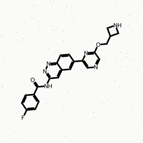 O=C(Nc1cc2cc(-c3cncc(OCC4CNC4)n3)ccc2nn1)c1ccc(F)cc1